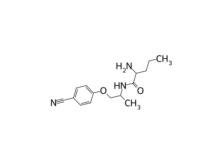 CCCC(N)C(=O)NC(C)COc1ccc(C#N)cc1